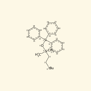 CC(C)(C)CC[Si](C)(C)O[Si](c1ccccc1)(c1ccccc1)c1ccccc1